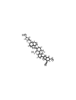 Cc1c(Nc2nccc3c(CN4CCC(O)C4)ccnc23)cccc1-c1cccc(-c2nc3cc(C=O)cc(C#N)c3o2)c1C